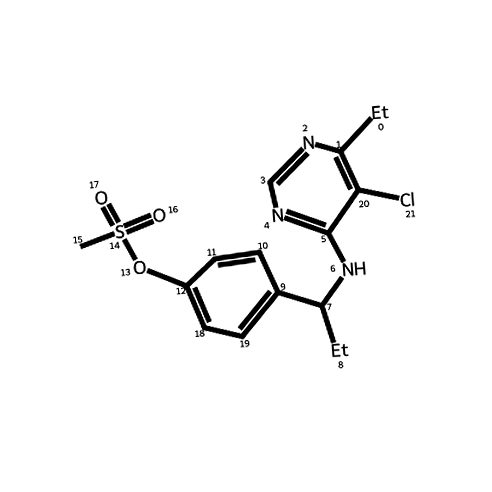 CCc1ncnc(NC(CC)c2ccc(OS(C)(=O)=O)cc2)c1Cl